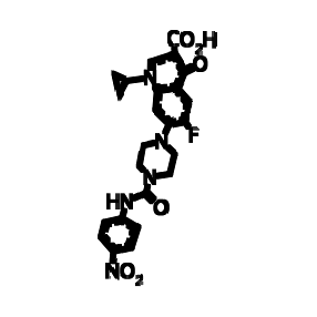 O=C(O)c1cn(C2CC2)c2cc(N3CCN(C(=O)Nc4ccc([N+](=O)[O-])cc4)CC3)c(F)cc2c1=O